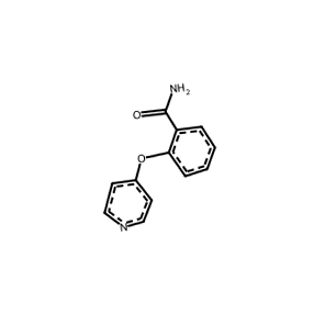 NC(=O)c1ccccc1Oc1ccncc1